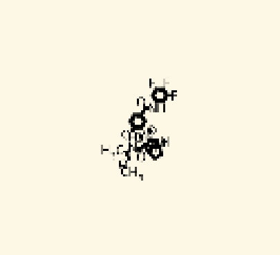 COC[C@H](C)NC(=O)C[C@]1(O)C2CC[C@@H]1C[C@@H](S(=O)(=O)c1cc(C(=O)Nc3cc(F)c(F)c(F)c3)ccc1Cl)C2